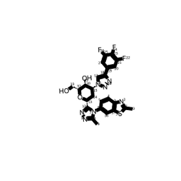 Cc1nc2ccc(-n3c(C)nnc3[C@H]3C[C@@H](n4cc(-c5cc(F)c(F)c(F)c5)nn4)[C@@H](O)[C@@H](CO)O3)cc2s1